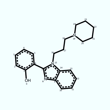 Oc1ccccc1-c1nc2ccccc2n1CCCN1CCCCC1